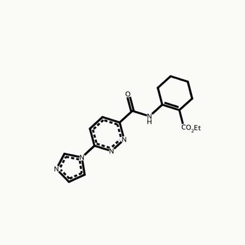 CCOC(=O)C1=C(NC(=O)c2ccc(-n3ccnc3)nn2)CCCC1